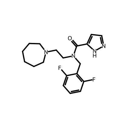 O=C(c1ccn[nH]1)N(CCN1CCCCCC1)Cc1c(F)cccc1F